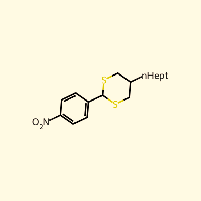 CCCCCCCC1CSC(c2ccc([N+](=O)[O-])cc2)SC1